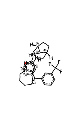 FC(F)(F)c1cccc(C2CCCCn3nc(N[C@@H]4[C@@H]5CC[C@H]4CN(c4cnnc(Cl)c4)C5)nc32)c1